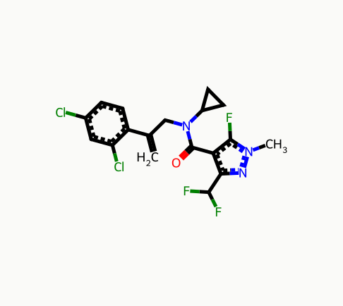 C=C(CN(C(=O)c1c(C(F)F)nn(C)c1F)C1CC1)c1ccc(Cl)cc1Cl